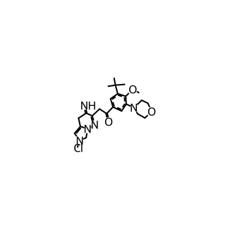 COc1c(N2CCOCC2)cc(C(=O)CC2=NN3CN(Cl)C=C3CC2=N)cc1C(C)(C)C